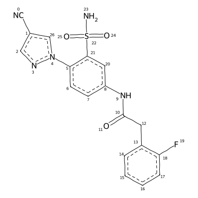 N#Cc1cnn(-c2ccc(NC(=O)Cc3ccccc3F)cc2S(N)(=O)=O)c1